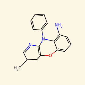 CC1C=NC2=C(C1)Oc1cccc(N)c1N2c1ccccc1